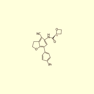 CC(C)c1ccc(-c2cc(NC(=O)[C@@H]3CCO3)c(C#N)c3c2OCC3)cc1